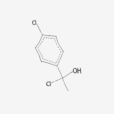 CC(O)(Cl)c1ccc(Cl)cc1